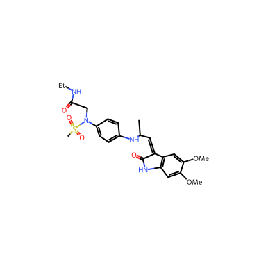 CCNC(=O)CN(c1ccc(NC(C)C=C2C(=O)Nc3cc(OC)c(OC)cc32)cc1)S(C)(=O)=O